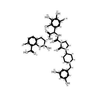 O=C(O)c1c(F)ccc2c1OB(O)[C@@H](NC(=O)C(NC(=O)N1CCN(C3CCN(Cc4cc(O)cc(O)c4)CC3)C1=O)c1cc(F)c(O)c(O)c1Cl)C2